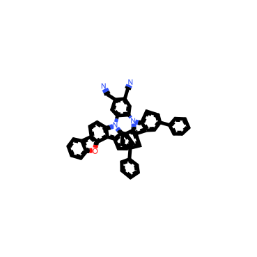 N#Cc1cc(-n2c3ccc(-c4ccccc4)cc3c3cc(-c4ccccc4)ccc32)c(-n2c3ccccc3c3c4oc5ccccc5c4ccc32)cc1C#N